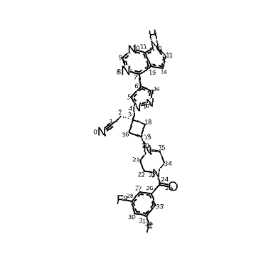 N#CC[C@]1(n2cc(-c3ncnc4[nH]ccc34)cn2)C[C@@H](N2CCN(C(=O)c3cc(F)cc(F)c3)CC2)C1